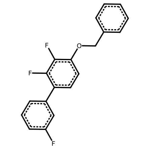 Fc1cccc(-c2ccc(OCc3ccccc3)c(F)c2F)c1